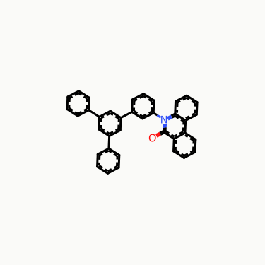 O=c1c2ccccc2c2ccccc2n1-c1cccc(-c2cc(-c3ccccc3)cc(-c3ccccc3)c2)c1